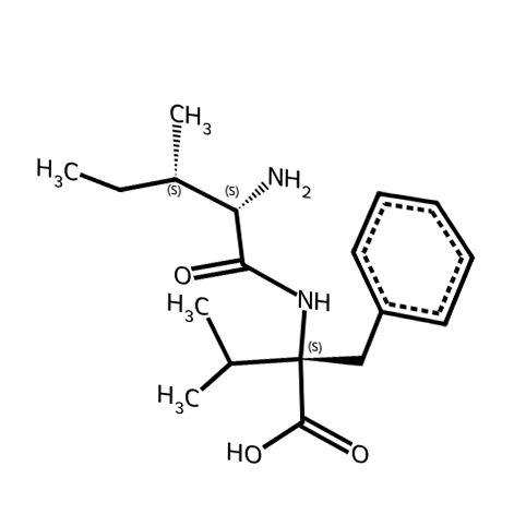 CC[C@H](C)[C@H](N)C(=O)N[C@](Cc1ccccc1)(C(=O)O)C(C)C